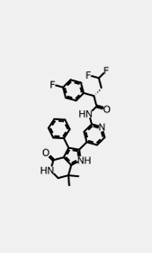 CC1(C)CNC(=O)c2c1[nH]c(-c1ccnc(NC(=O)[C@@H](CC(F)F)c3ccc(F)cc3)c1)c2-c1ccccc1